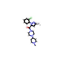 CN1CCC(N2CCN(C(=O)c3cc(C(F)(F)F)nn3-c3ccccc3Cl)CC2)CC1